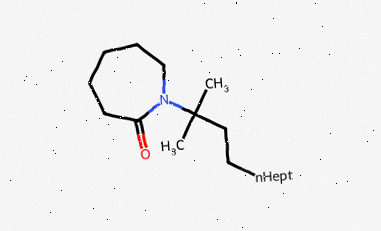 CCCCCCCCCC(C)(C)N1CCCCCC1=O